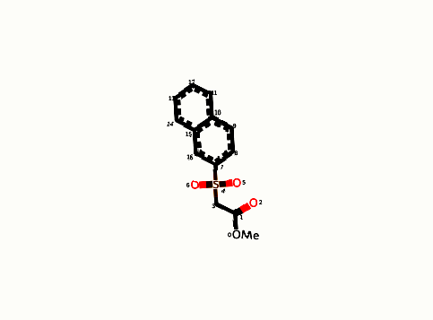 COC(=O)CS(=O)(=O)c1ccc2ccccc2c1